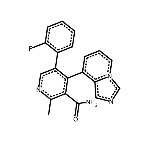 Cc1ncc(-c2ccccc2F)c(-c2cccn3cncc23)c1C(N)=O